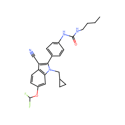 CCCCNC(=O)Nc1ccc(-c2c(C#N)c3ccc(OC(F)F)cc3n2CC2CC2)cc1